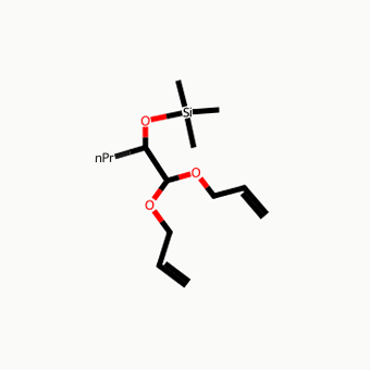 C=CCOC(OCC=C)C(CCC)O[Si](C)(C)C